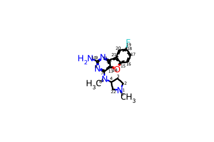 CN1CCC(N(C)c2nc(N)nc3c2oc2ccc(F)cc23)C1